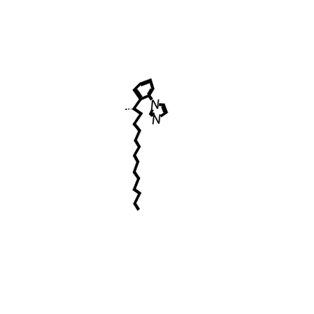 CCCCCCCCCCCCC[C@H](C)c1ccccc1-n1ccnc1